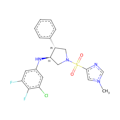 Cn1cnc(S(=O)(=O)N2C[C@@H](Nc3cc(F)c(F)c(Cl)c3)[C@H](c3ccccc3)C2)c1